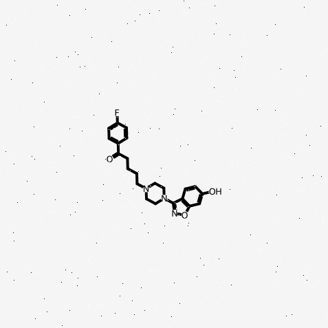 O=C(CCCCN1CCN(c2noc3cc(O)ccc23)CC1)c1ccc(F)cc1